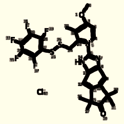 COc1cc[n+](-c2nc3cc4c(cc3[nH]2)C(C)(C)C(=O)C4(C)C)c(CSSc2c(F)c(F)c(F)c(F)c2F)c1C.[Cl-]